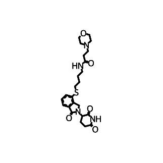 O=C(CCN1CCOCC1)NCCCCSc1cccc2c1CN(C1CCC(=O)NC1=O)C2=O